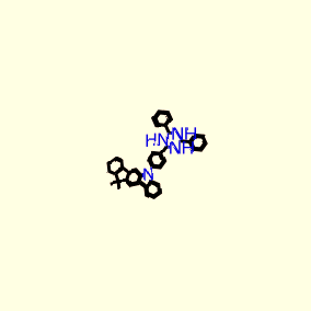 CC1(C)C2=C(C=CCC2)c2cc3c(cc21)c1ccccc1n3-c1ccc(C2NC(c3ccccc3)NC(c3ccccc3)N2)cc1